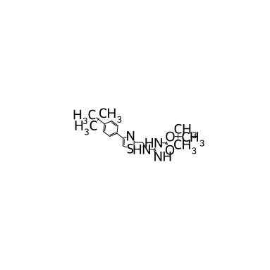 CC(C)(C)OC(=O)NC(=N)NCc1nc(-c2ccc(C(C)(C)C)cc2)cs1